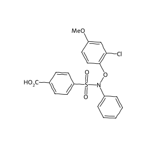 COc1ccc(ON(c2ccccc2)S(=O)(=O)c2ccc(C(=O)O)cc2)c(Cl)c1